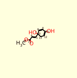 COC(=O)/C=C/C1(O)C=CC(O)=CC1